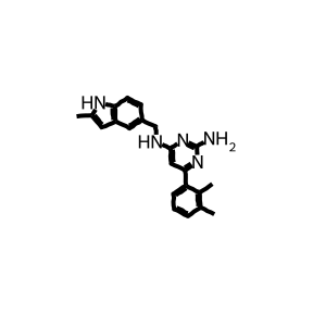 Cc1cc2cc(CNc3cc(-c4cccc(C)c4C)nc(N)n3)ccc2[nH]1